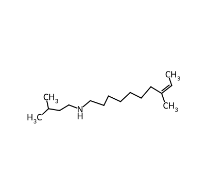 C/C=C(/C)CCCCCCCNCCC(C)C